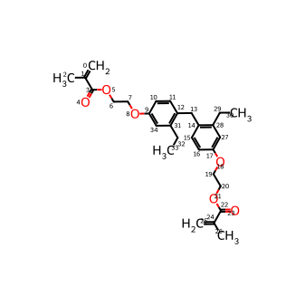 C=C(C)C(=O)OCCOc1ccc(Cc2ccc(OCCOC(=O)C(=C)C)cc2CC)c(CC)c1